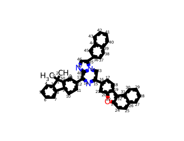 CC1(C)c2ccccc2-c2ccc(-c3nc(-c4ccc5c(c4)oc4ccc6ccccc6c45)cn4c(-c5ccc6ccccc6c5)cnc34)cc21